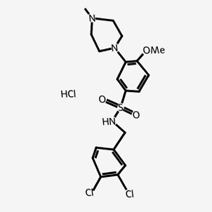 COc1ccc(S(=O)(=O)NCc2ccc(Cl)c(Cl)c2)cc1N1CCN(C)CC1.Cl